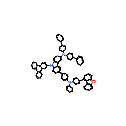 c1ccc(-c2ccc(N(c3ccc(-c4ccccc4)cc3)c3ccc4c(c3)c3cc(-c5ccc(N(c6ccccc6)c6ccc(-c7cccc8oc9ccccc9c78)cc6)cc5)ccc3n4-c3ccc4c5ccccc5c5ccccc5c4c3)cc2)cc1